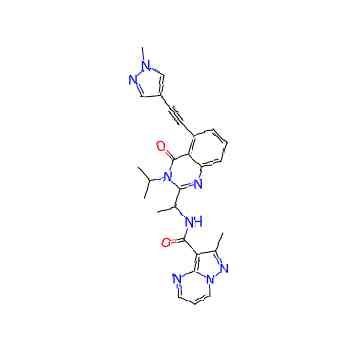 Cc1nn2cccnc2c1C(=O)NC(C)c1nc2cccc(C#Cc3cnn(C)c3)c2c(=O)n1C(C)C